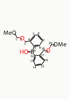 COCOCc1ccccc1B(O)c1ccccc1COCOC